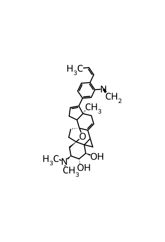 C=Nc1cc(C2=CCC3[C@]2(C)CC=C2C4CC45[C@@H](O)[C@H](O)[C@@H](N(C)C)C[C@]54CC[C@@]23O4)ccc1/C=C\C